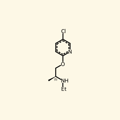 CCN[C@@H](C)COc1ccc(Cl)cn1